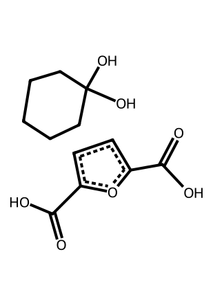 O=C(O)c1ccc(C(=O)O)o1.OC1(O)CCCCC1